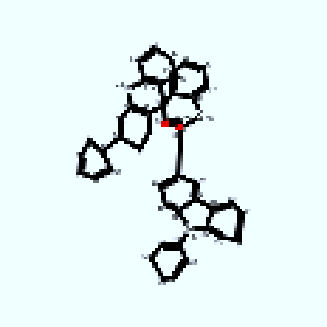 C1=CCC(C2=CC3=C(CC2)C2(C4=C(CC(c5ccc6c(c5)c5ccccc5n6C5=CCCC=C5)C=C4)Sc4ccccc42)C2=C(C=CCC2)S3)C=C1